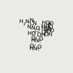 COC(C)NC(C)OC.COC(C)NC(C)OC.Nc1ncnc2c1ncn2[C@@H]1O[C@H](COP(=O)(O)OP(=O)(O)OP(=O)(O)O)[C@@H](O)[C@H]1O